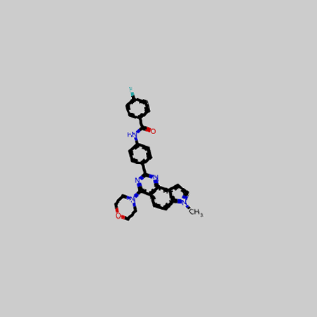 Cn1ccc2c3nc(-c4ccc(NC(=O)c5ccc(F)cc5)cc4)nc(N4CCOCC4)c3ccc21